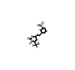 O=c1nc(C=Cc2cccc([N+](=O)[O-])c2)cc(C(F)(F)F)n1F